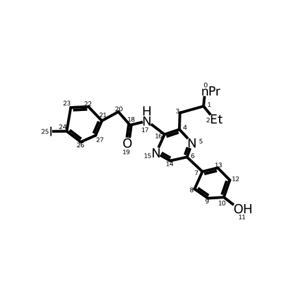 CCCC(CC)Cc1nc(-c2ccc(O)cc2)cnc1NC(=O)Cc1ccc(I)cc1